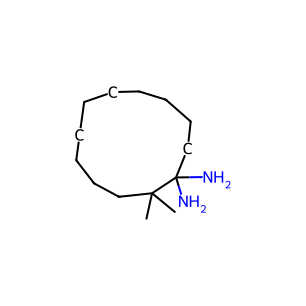 CC1(C)CCCCCCCCCCC1(N)N